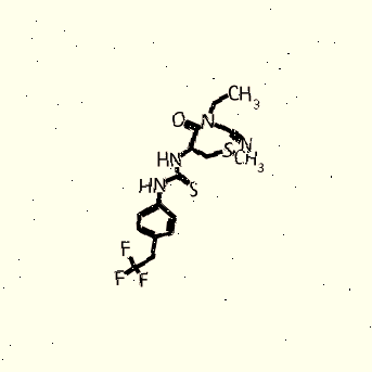 CCN(C#N)C(=O)C(CSC)NC(=S)Nc1ccc(CC(F)(F)F)cc1